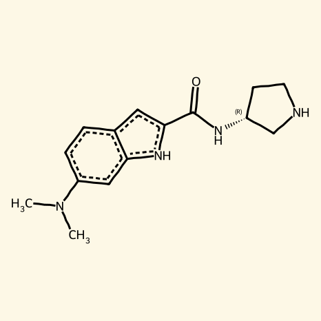 CN(C)c1ccc2cc(C(=O)N[C@@H]3CCNC3)[nH]c2c1